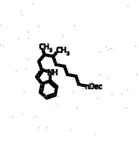 CCCCCCCCCCCCCCCC(C)C(C)Cc1cc2ccccc2[nH]1